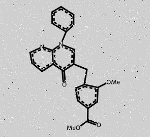 COC(=O)c1ccc(Cc2cn(-c3ccccc3)c3ncccc3c2=O)c(OC)c1